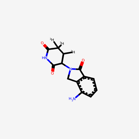 [2H]C1C(N2Cc3c(N)cccc3C2=O)C(=O)NC(=O)C1([2H])[2H]